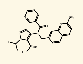 NC(=O)c1c(N(Cc2ccc3ccc(N)nc3c2)C(=O)c2cccnc2)cnn1C(F)F